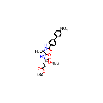 C[C@H](NC(=O)c1ccc(-c2ccc([N+](=O)[O-])cc2)cc1)C(=O)N[C@@H](CCC(=O)OC(C)(C)C)C(=O)OC(C)(C)C